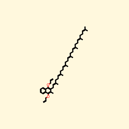 C=CCOc1c(C)c(C/C=C(\C)CC/C=C(\C)CC/C=C(\C)CC/C=C(\C)CC/C=C(\C)CC/C=C(\C)CCC=C(C)C)c(OCC=C)c2ccccc12